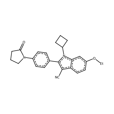 CCOc1ccc2c(C#N)c(-c3ccc(N4CCCC4=O)cc3)n(C3CCC3)c2c1